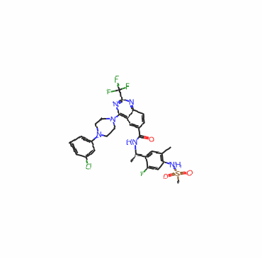 Cc1cc([C@@H](C)NC(=O)c2ccc3nc(C(F)(F)F)nc(N4CCN(c5cccc(Cl)c5)CC4)c3c2)c(F)cc1NS(C)(=O)=O